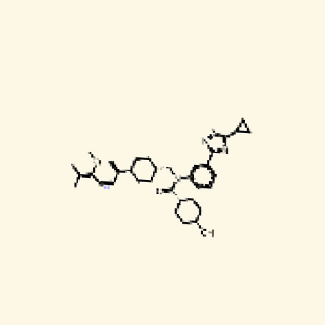 C=C(/C=C\C(OC)=C(C)C)[C@H]1CC[C@H](CN(c2cccc(-c3nsc(C4CC4)n3)c2)C(=O)[C@H]2CC[C@H](O)CC2)CC1